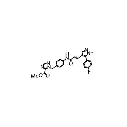 COC(=O)c1ncnn1Cc1ccc(NC(=O)/C=C/c2cnn(C)c2-c2ccc(F)cc2)cc1